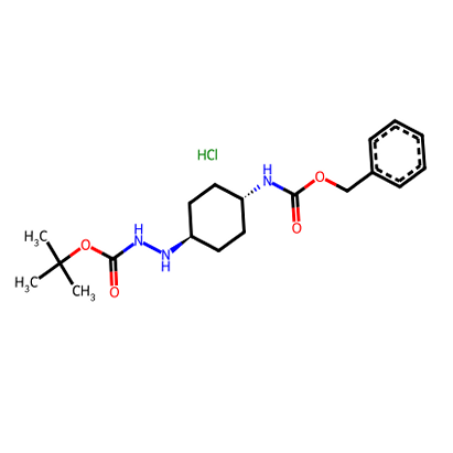 CC(C)(C)OC(=O)NN[C@H]1CC[C@H](NC(=O)OCc2ccccc2)CC1.Cl